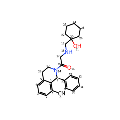 N#Cc1cccc2c1[C@H](c1ccccc1)N(C(=O)CNCC1(O)CCCCC1)CC2